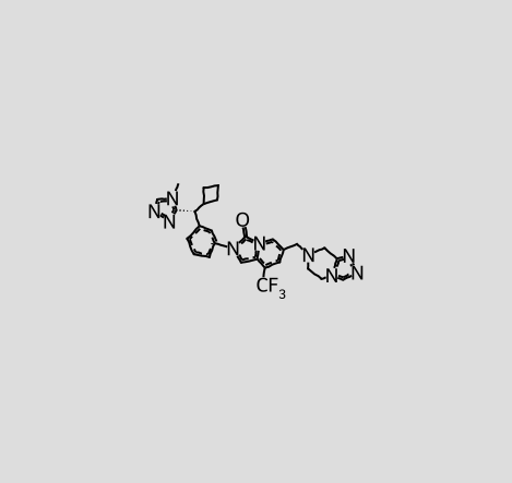 Cn1cnnc1[C@@H](c1cccc(-n2cc3c(C(F)(F)F)cc(CN4CCn5cnnc5C4)cn3c2=O)c1)C1CCC1